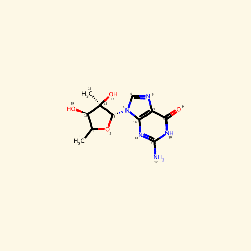 CC1O[C@@H](n2cnc3c(=O)[nH]c(N)nc32)[C@](C)(O)[C@@H]1O